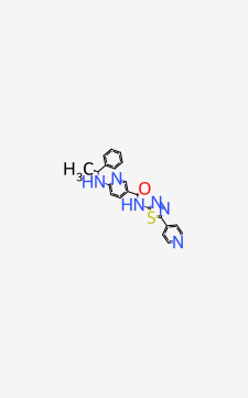 C[C@H](Nc1ccc(C(=O)Nc2nnc(-c3ccncc3)s2)cn1)c1ccccc1